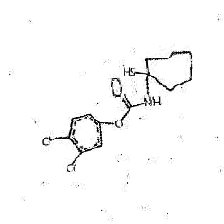 O=C(NC1(S)CCCCC1)Oc1ccc(Cl)c(Cl)c1